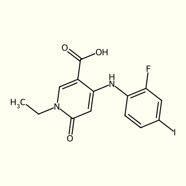 CCn1cc(C(=O)O)c(Nc2ccc(I)cc2F)cc1=O